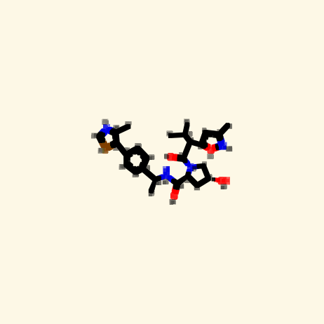 Cc1cc(C(C(=O)N2C[C@H](O)C[C@H]2C(=O)N[C@@H](C)c2ccc(-c3scnc3C)cc2)C(C)C)on1